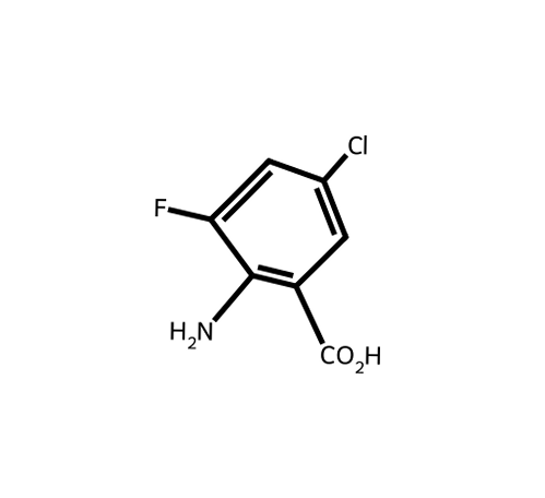 Nc1c(F)cc(Cl)cc1C(=O)O